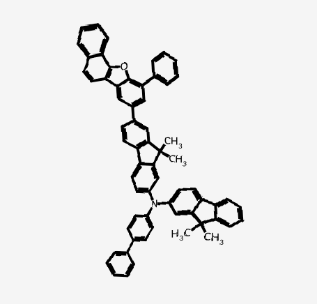 CC1(C)c2ccccc2-c2ccc(N(c3ccc(-c4ccccc4)cc3)c3ccc4c(c3)C(C)(C)c3cc(-c5cc(-c6ccccc6)c6oc7c8ccccc8ccc7c6c5)ccc3-4)cc21